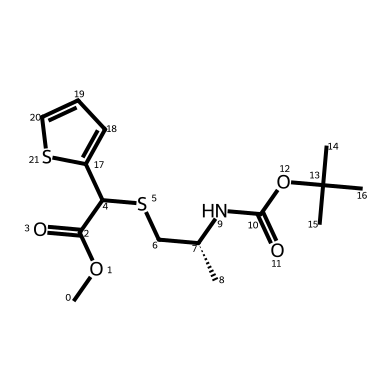 COC(=O)C(SC[C@@H](C)NC(=O)OC(C)(C)C)c1cccs1